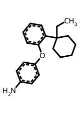 CCC1(c2ccccc2Oc2ccc(N)cc2)CCCCC1